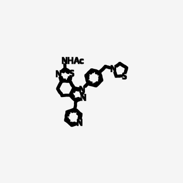 CC(=O)Nc1nc2c(s1)-c1c(c(-c3cccnc3)nn1-c1ccc(CN3CCSC3)cc1)CC2